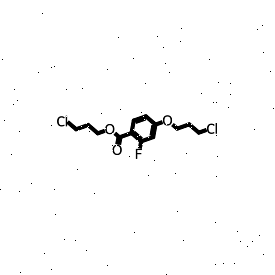 O=C(OCCCCl)c1ccc(OCCCCl)cc1F